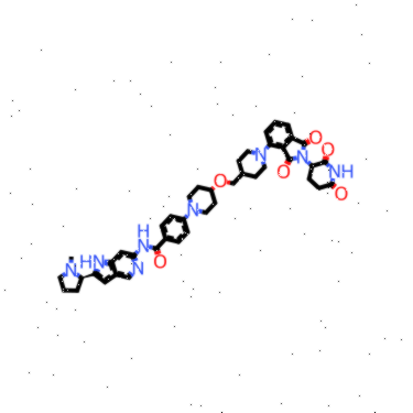 CN1CCC[C@@H]1c1cc2cnc(NC(=O)c3ccc(N4CCC(OCC5CCN(c6cccc7c6C(=O)N(C6CCC(=O)NC6=O)C7=O)CC5)CC4)cc3)cc2[nH]1